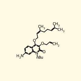 C=CCOc1c(OCC=C(C)CCC=C(C)C)c2ccc(N)cc2n(CCCC)c1=O